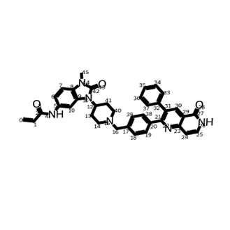 C=CC(=O)Nc1ccc2c(c1)n(C1CCN(Cc3ccc(-c4nc5cc[nH]c(=O)c5cc4-c4ccccc4)cc3)CC1)c(=O)n2C